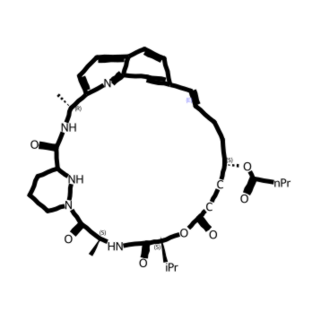 CCCC(=O)O[C@H]1CC/C=C/c2ccc3ccc(nc3c2)[C@@H](C)NC(=O)C2CCCN(N2)C(=O)[C@H](C)NC(=O)[C@H](C(C)C)OC(=O)CC1